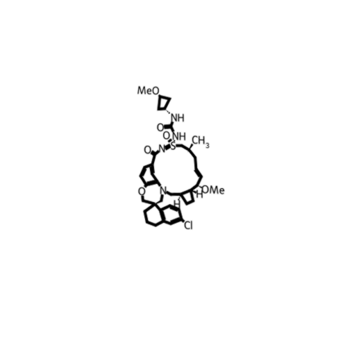 CO[C@H]1/C=C/C[C@H](C)C[S@@](=O)(NC(=O)N[C@H]2C[C@H](OC)C2)=NC(=O)c2ccc3c(c2)N(C[C@@H]2CC[C@H]21)C[C@@]1(CCCc2cc(Cl)ccc21)CO3